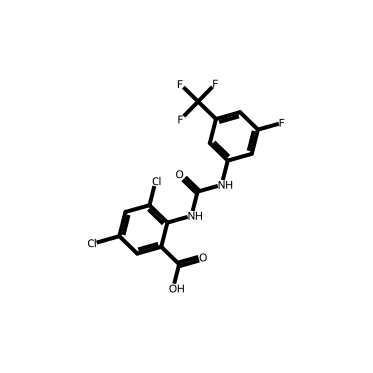 O=C(Nc1cc(F)cc(C(F)(F)F)c1)Nc1c(Cl)cc(Cl)cc1C(=O)O